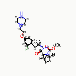 CC(C)(C)OC(=O)N1[C@@H]2CC[C@@H](C2)[C@H]1C(=O)N[C@H](C#N)Cc1ccc(OCCN2CCNCC2)cc1F